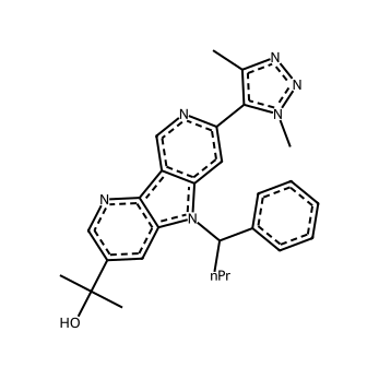 CCCC(c1ccccc1)n1c2cc(-c3c(C)nnn3C)ncc2c2ncc(C(C)(C)O)cc21